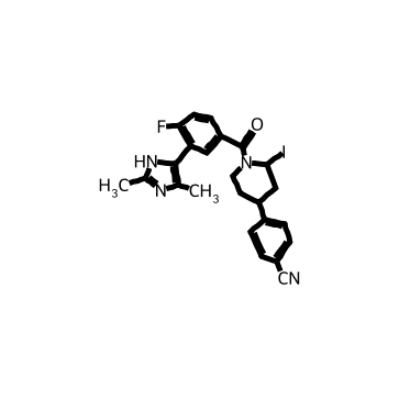 Cc1nc(C)c(-c2cc(C(=O)N3CCC(c4ccc(C#N)cc4)CC3I)ccc2F)[nH]1